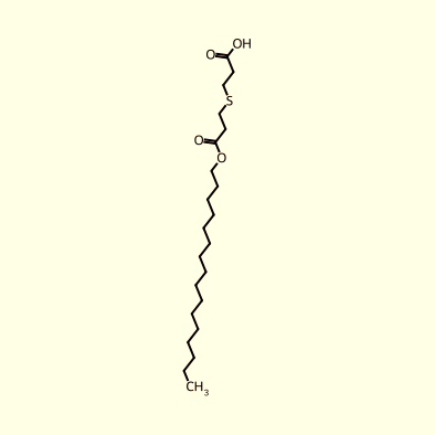 CCCCCCCCCCCCCCCCOC(=O)CCSCCC(=O)O